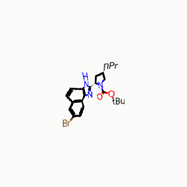 CCC[C@H]1C[C@@H](c2nc3c(ccc4cc(Br)ccc43)[nH]2)N(C(=O)OC(C)(C)C)C1